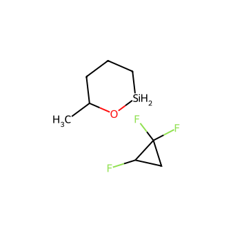 CC1CCC[SiH2]O1.FC1CC1(F)F